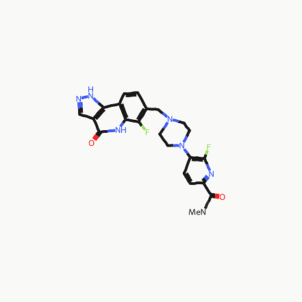 CNC(=O)c1ccc(N2CCN(Cc3ccc4c([nH]c(=O)c5cn[nH]c54)c3F)CC2)c(F)n1